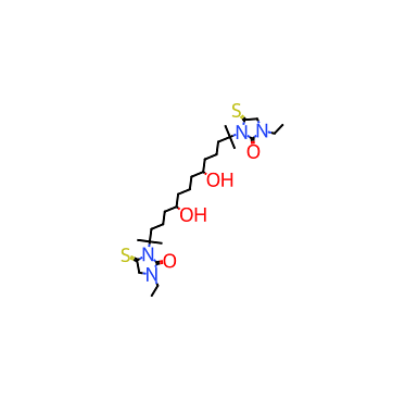 CCN1CC(=S)N(C(C)(C)CCCC(O)CCCC(O)CCCC(C)(C)N2C(=O)N(CC)CC2=S)C1=O